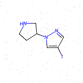 Ic1cnn(C2CCNC2)c1